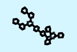 c1ccc(-c2cccc(-c3cc(-c4ccc(-c5ccc(-c6c7ccccc7c7nc(-c8ccccc8)nc(-c8ccccc8)n67)cc5)cc4)nc(-c4cccc(-c5ccccc5)c4)n3)c2)cc1